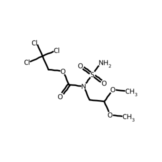 COC(CN(C(=O)OCC(Cl)(Cl)Cl)S(N)(=O)=O)OC